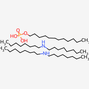 CCCCCCCCCCCCOP(=O)(O)O.CCCCCCCCNCCCCCCCC.CCCCCCCCNCCCCCCCC